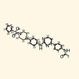 CC(=O)Nc1ccc(-c2ccnc(Nc3ccc(N4CCN(S(=O)(=O)c5cccs5)CC4)cc3)n2)cc1